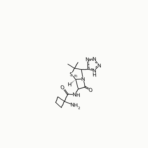 CC1(C)S[C@@H]2C(NC(=O)C3(N)CCC3)C(=O)N2C1c1nnn[nH]1